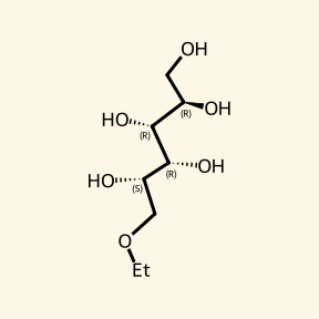 [CH2]COC[C@H](O)[C@@H](O)[C@H](O)[C@H](O)CO